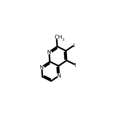 Cc1nc2nccnc2c(I)c1I